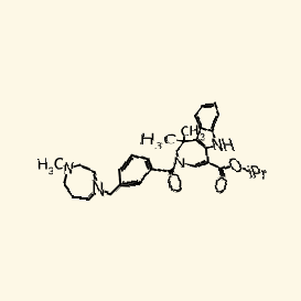 CC(C)OC(=O)C1=CN(C(=O)c2cccc(CN3CCCN(C)CC3)c2)CC(C)(C)c2c1[nH]c1ccccc21